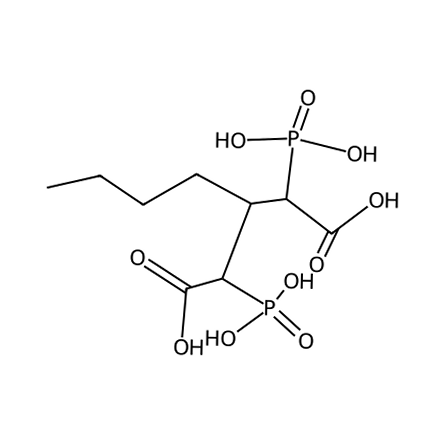 CCCCC(C(C(=O)O)P(=O)(O)O)C(C(=O)O)P(=O)(O)O